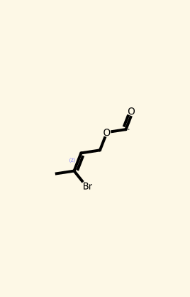 C/C(Br)=C/CO[C]=O